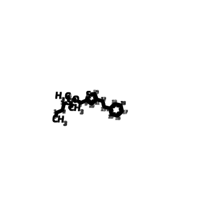 CCCC[Si](C)(C)OCc1cc(CCc2ccccc2)cs1